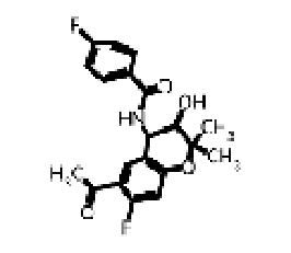 CC(=O)c1cc2c(cc1F)OC(C)(C)C(O)C2NC(=O)c1ccc(F)cc1